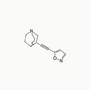 C(#CC1CN2CCCC1CC2)c1ccno1